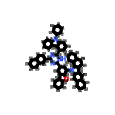 c1ccc(-n2c3ccccc3c3c(C4=NC(c5ccc6ccccc6c5)=NC(c5cc(-n6c7cc8ccccc8cc7c7ccc8ccccc8c76)c6oc7ccccc7c6c5)N4)cccc32)cc1